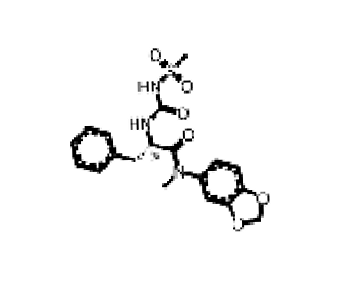 CN(C(=O)[C@H](Cc1ccccc1)NC(=O)NS(C)(=O)=O)c1ccc2c(c1)OCO2